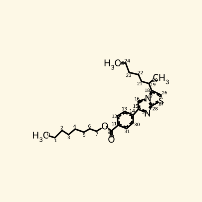 CCCCCCCCOC(=O)c1ccc(-c2cn3c(C(C)CCCCC)csc3n2)cc1